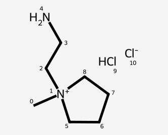 C[N+]1(CCN)CCCC1.Cl.[Cl-]